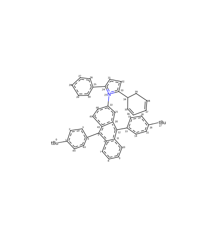 CC(C)(C)c1ccc(-c2c3ccccc3c(-c3ccc(C(C)(C)C)cc3)c3cc(-n4c(-c5ccccc5)ccc4C4C=CC=CC4)ccc23)cc1